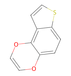 C1=COc2c(ccc3sccc23)O1